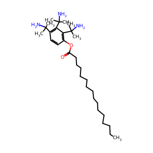 CCCCCCCCCCCCCCCC(=O)Oc1ccc(C(C)(C)N)c(C(C)(C)N)c1C(C)(C)N